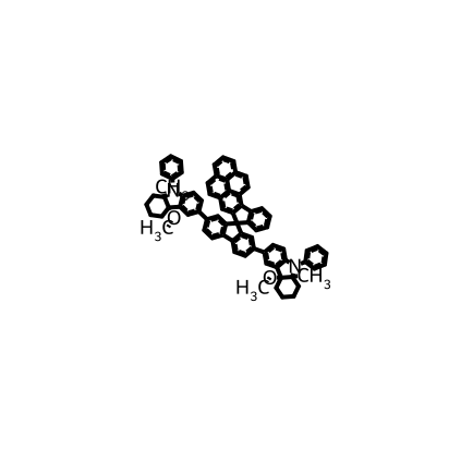 COC12CCCCC1(C)N(c1ccccc1)c1ccc(-c3ccc4c(c3)C3(c5cc(-c6ccc7c(c6)C6(OC)CCCCC6(C)N7c6ccccc6)ccc5-4)c4ccccc4-c4c3cc3ccc5cccc6ccc4c3c56)cc12